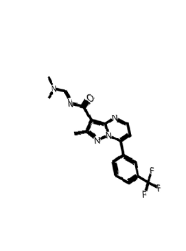 Cc1nn2c(-c3cccc(C(F)(F)F)c3)ccnc2c1C(=O)/N=C/N(C)C